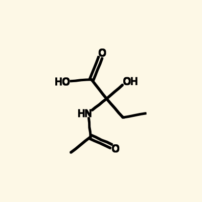 CCC(O)(NC(C)=O)C(=O)O